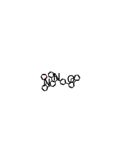 c1ccc(-n2c3ccccc3c3ccc4c(-c5ccc(-c6cccc7c6oc6ccccc67)cc5)nc5ccccc5c4c32)cc1